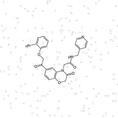 CCCc1ccccc1OCC(=O)c1ccc2c(c1)N(CC(=O)NCc1ccncc1)C(=O)CO2